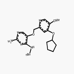 CCCCNc1nc(N)ncc1OCc1cc(OC2CCCC2)c(OC)cn1